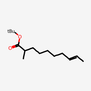 CC=CCCCCCC(C)C(=O)OC(C)(C)C